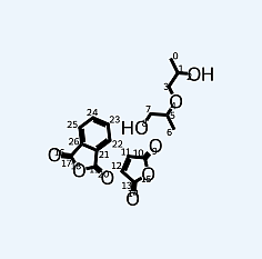 CC(O)COC(C)CO.O=C1C=CC(=O)O1.O=C1OC(=O)c2ccccc21